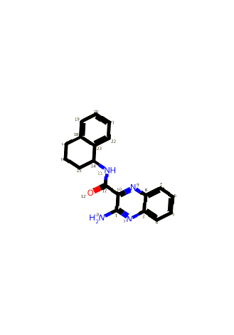 Nc1nc2ccccc2nc1C(=O)NC1CCCc2ccccc21